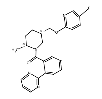 C[C@@H]1CC[C@H](COc2ccc(F)cn2)CN1C(=O)c1c[c]ccc1-c1ncccn1